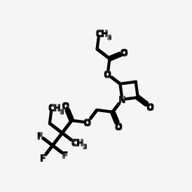 CCC(=O)OC1CC(=O)N1C(=O)COC(=O)C(C)(CC)C(F)(F)F